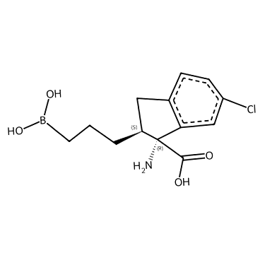 N[C@@]1(C(=O)O)c2cc(Cl)ccc2C[C@@H]1CCCB(O)O